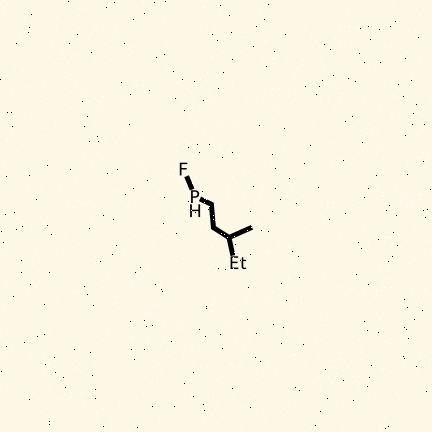 CCC(C)CCPF